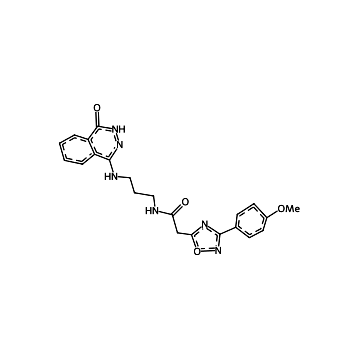 COc1ccc(-c2noc(CC(=O)NCCCNc3n[nH]c(=O)c4ccccc34)n2)cc1